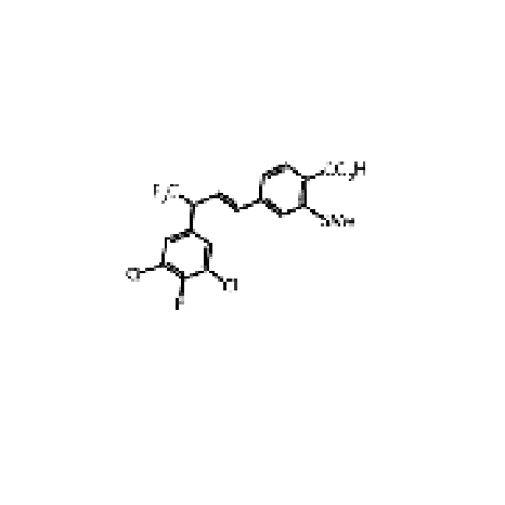 CSc1cc(C=CC(c2cc(Cl)c(F)c(Cl)c2)C(F)(F)F)ccc1C(=O)O